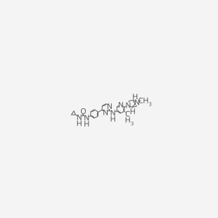 Cc1cc(Nc2nccc(-c3ccc(NC(=O)NC4CC4)cc3)n2)cnc1N1C[C@@H]2C[C@H]1CN2C